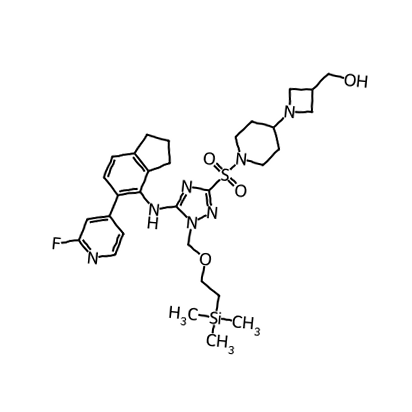 C[Si](C)(C)CCOCn1nc(S(=O)(=O)N2CCC(N3CC(CO)C3)CC2)nc1Nc1c(-c2ccnc(F)c2)ccc2c1CCC2